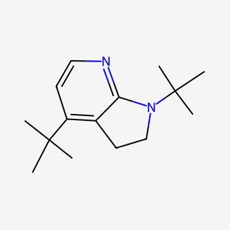 CC(C)(C)c1ccnc2c1CCN2C(C)(C)C